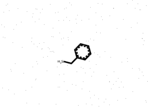 [SiH2]Cc1ccccc1